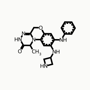 CC1C(=O)NN=C2COc3cc(Nc4ccccc4)c(NC4CNC4)cc3N21